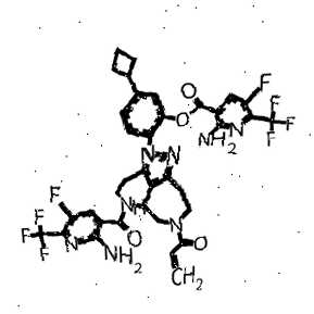 C=CC(=O)N1CCc2nn(-c3ccc(C4CCC4)cc3OC(=O)c3cc(F)c(C(F)(F)F)nc3N)c3c2[C@H](C1)N(C(=O)c1cc(F)c(C(F)(F)F)nc1N)CC3